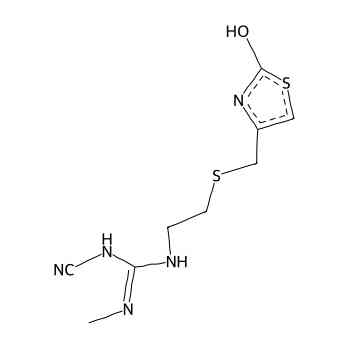 C/N=C(\NC#N)NCCSCc1csc(O)n1